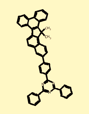 CC1(C)c2c(ccc3cc(-c4ccc(-c5nc(-c6ccccc6)nc(-c6ccccc6)n5)cc4)ccc23)-c2c1c1ccccc1c1ccccc21